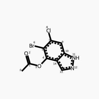 CC(=O)Oc1c(Br)c(Cl)cc2[nH]ncc12